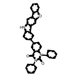 O=c1c2cc(-c3ccc4[nH]c5cc6c(cc5c4c3)oc3ccccc36)ccc2n(-c2ccccc2)c(=O)n1-c1ccccc1